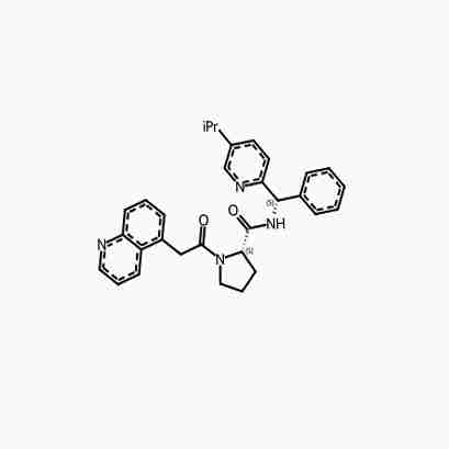 CC(C)c1ccc([C@@H](NC(=O)[C@@H]2CCCN2C(=O)Cc2cccc3ncccc23)c2ccccc2)nc1